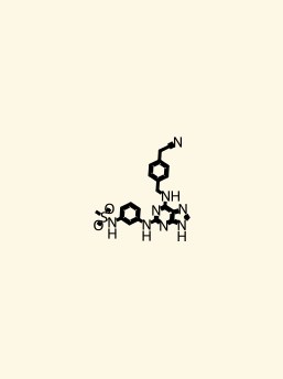 CS(=O)(=O)Nc1cccc(Nc2nc(NCc3ccc(CC#N)cc3)c3nc[nH]c3n2)c1